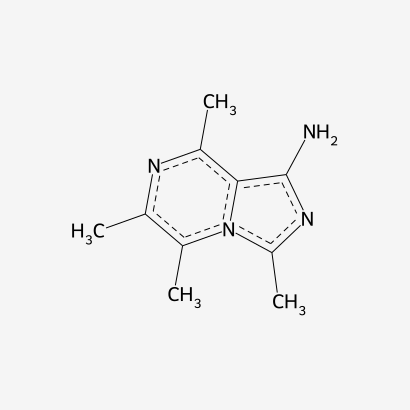 Cc1nc(C)c2c(N)nc(C)n2c1C